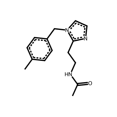 CC(=O)NCCc1nccn1Cc1ccc(C)cc1